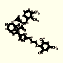 Cc1cc(Cl)c(OCCOc2ncc(C3=C(C(=O)N(Cc4cccc(C(F)(F)F)c4C)C4CC4)[C@H]4CNCC(C3)N4)s2)c(Cl)c1